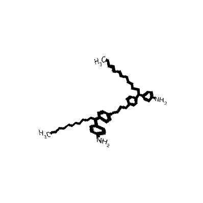 CCCCCCCCCCCCC(c1ccc(N)cc1)c1ccc(CCCCc2ccc(C(CCCCCCCCCCCC)c3ccc(N)cc3)cc2)cc1